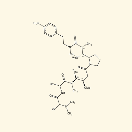 CC[C@H](C)[C@@H]([C@@H](CC(=O)N1CCCC1[C@H](OC)[C@@H](C)C(=O)N(C)CCc1ccc(N)cc1)OC)N(C)C(=O)C(NC(=O)C(C(C)C)N(C)C)C(C)C